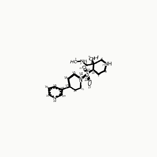 O=C(NO)C1(O)CNCCC1S(=O)(=O)N1CCC(c2cccnc2)CC1